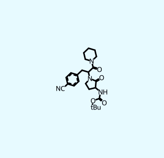 CC(C)(C)OC(=O)NC1CCN(C(Cc2ccc(C#N)cc2)C(=O)N2CCCCC2)C1=O